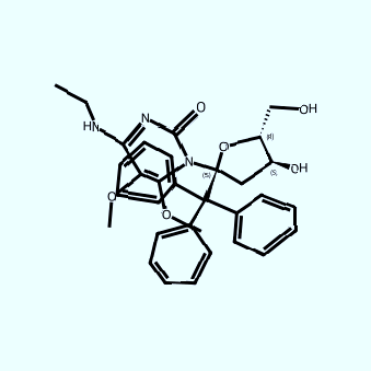 CCNc1nc(=O)n([C@@]2(C(c3ccccc3)(c3ccccc3)c3ccccc3)C[C@H](O)[C@@H](CO)O2)c(OC)c1OC